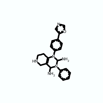 NC1C2=C(CCNC2)N(c2ccc(-c3cnco3)cc2)C(N)N1c1ccccc1